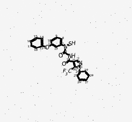 O=C(NC(=O)N(S)c1cccc(Oc2ccccc2)c1)c1cnn(-c2ccccc2)c1C(F)(F)F